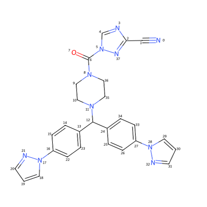 N#Cc1ncn(C(=O)N2CCN(C(c3ccc(-n4cccn4)cc3)c3ccc(-n4cccn4)cc3)CC2)n1